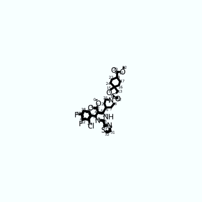 COC(=O)C1=C(C2CCN(S(=O)(=O)CC3(C)CCC(C(=O)OC)CC3)CC2)NC(c2nccs2)=NC1c1ccc(F)c(F)c1Cl